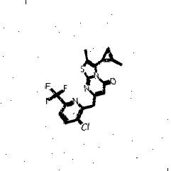 Cc1sc2nc(Cc3nc(C(F)(F)I)ccc3Cl)cc(=O)n2c1C1CC1C